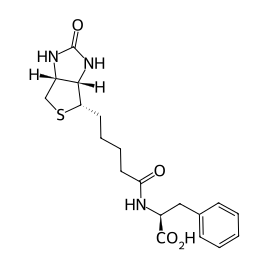 O=C(CCCC[C@@H]1SC[C@@H]2NC(=O)N[C@@H]21)N[C@@H](Cc1ccccc1)C(=O)O